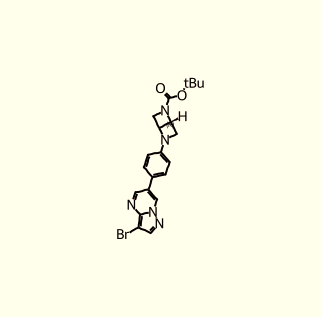 CC(C)(C)OC(=O)N1CC2[C@H]1CN2c1ccc(-c2cnc3c(Br)cnn3c2)cc1